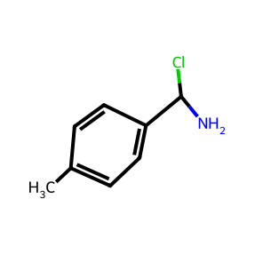 Cc1ccc(C(N)Cl)cc1